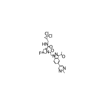 CC(=O)c1nn(CC(=O)N2C[C@H](F)C[C@H]2C(=O)NCC2CC2(Cl)Cl)c2ccc(-c3cnc(C)nc3)cc12